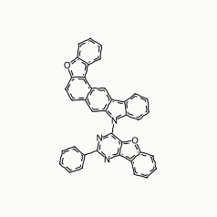 c1ccc(-c2nc(-n3c4ccccc4c4cc5c(ccc6oc7ccccc7c65)cc43)c3oc4ccccc4c3n2)cc1